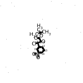 CC(C)(C)OC(=O)C(=O)C(Cl)c1cccc([N+](=O)[O-])c1